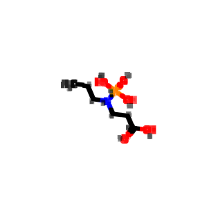 CCCN(CCC(=O)O)P(=O)(O)O